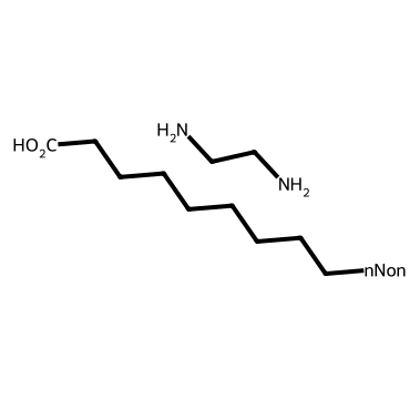 CCCCCCCCCCCCCCCCCC(=O)O.NCCN